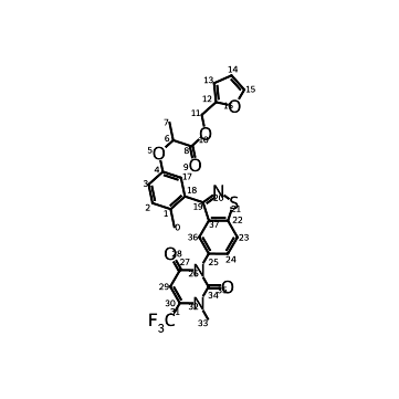 Cc1ccc(OC(C)C(=O)OCc2ccco2)cc1-c1nsc2ccc(-n3c(=O)cc(C(F)(F)F)n(C)c3=O)cc12